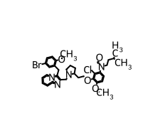 COc1ccc(Br)cc1Cc1c(CN2CCCC2CCOc2c(OC)ccc(N(C=O)CCC(C)C)c2Cl)nc2ccccn12